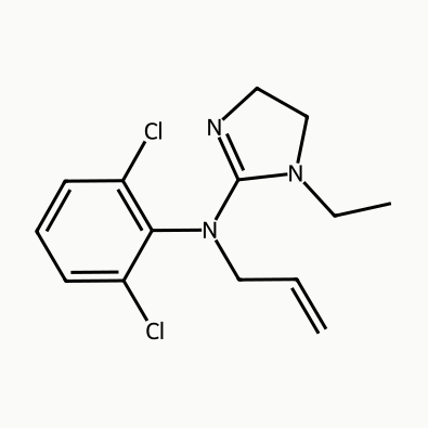 C=CCN(C1=NCCN1CC)c1c(Cl)cccc1Cl